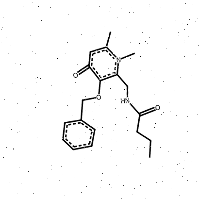 CCCC(=O)NCc1c(OCc2ccccc2)c(=O)cc(C)n1C